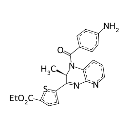 CCOC(=O)c1ccc(C2=Nc3ncccc3N(C(=O)c3ccc(N)cc3)[C@@H]2C)s1